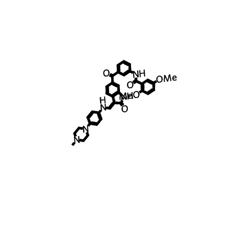 COc1ccc(OC)c(C(=O)Nc2cccc(C(=O)c3ccc4c(c3)NC(=O)C4=CNc3ccc(N4CCN(C)CC4)cc3)c2)c1